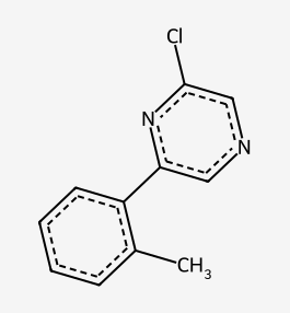 Cc1ccccc1-c1cncc(Cl)n1